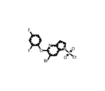 CCS(=O)(=O)n1ccc2nc(Oc3ccc(F)cc3F)c(Br)cc21